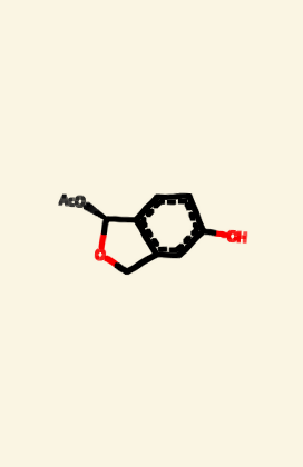 CC(=O)O[C@@H]1OCc2cc(O)ccc21